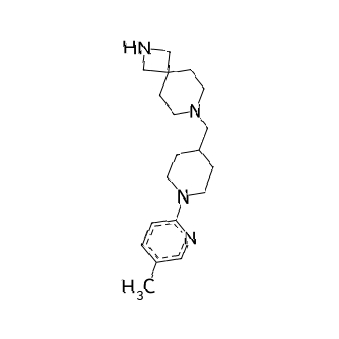 Cc1ccc(N2CCC(CN3CCC4(CC3)CNC4)CC2)nc1